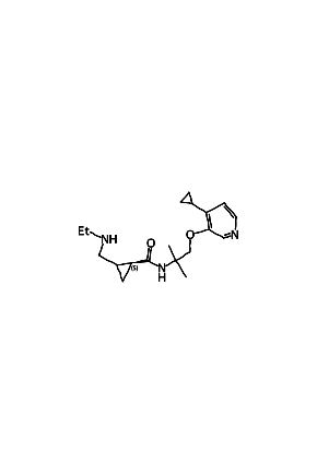 CCNCC1C[C@@H]1C(=O)NC(C)(C)COc1cnccc1C1CC1